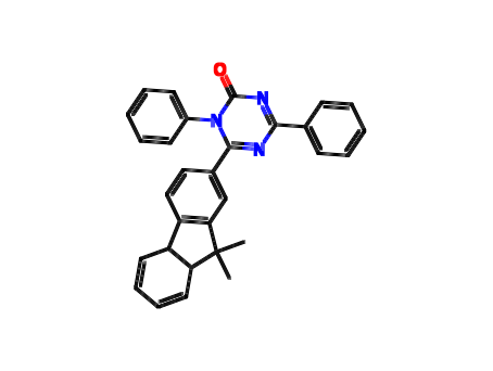 CC1(C)c2cc(-c3nc(-c4ccccc4)nc(=O)n3-c3ccccc3)ccc2C2C=CC=CC21